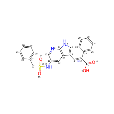 O=C(O)/C(=C/c1c[nH]c2ncc(NS(=O)(=O)Cc3ccccc3)cc12)c1ccccc1